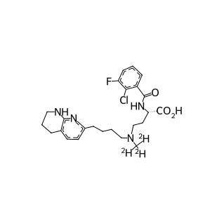 [2H]C([2H])([2H])N(CCCCc1ccc2c(n1)NCCC2)CC[C@H](NC(=O)c1cccc(F)c1Cl)C(=O)O